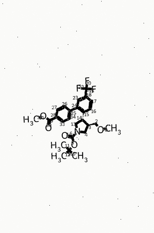 COC[C@H]1CN(C(=O)OC(C)(C)C)C[C@@H]1c1ccc(C(F)(F)F)cc1-c1ccc(C(=O)OC)cc1